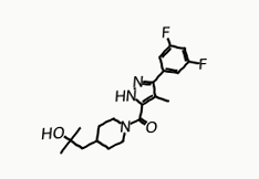 Cc1c(-c2cc(F)cc(F)c2)n[nH]c1C(=O)N1CCC(CC(C)(C)O)CC1